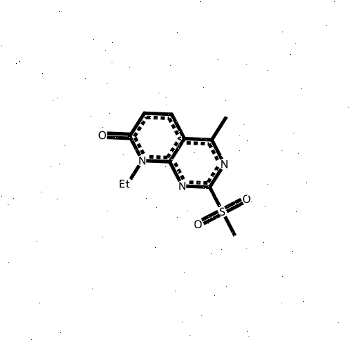 CCn1c(=O)ccc2c(C)nc(S(C)(=O)=O)nc21